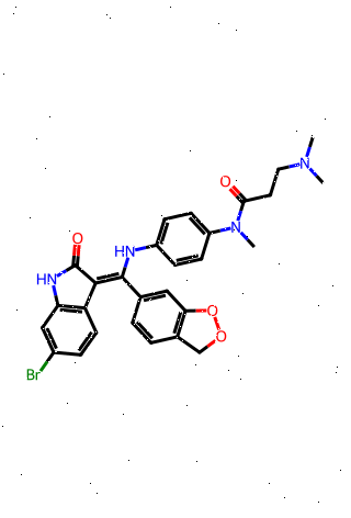 CN(C)CCC(=O)N(C)c1ccc(N/C(=C2\C(=O)Nc3cc(Br)ccc32)c2ccc3c(c2)OOC3)cc1